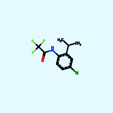 CC(C)c1cc(Cl)ccc1NC(=O)C(F)(F)F